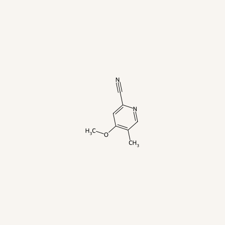 COc1cc(C#N)ncc1C